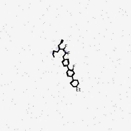 C#C/C=C(C/C=C\C)\C(F)=C(\F)Cc1ccc(-c2ccc(C3=CCC(CC)CC3)cc2F)cc1